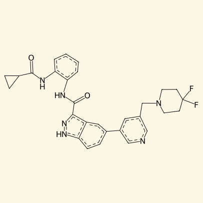 O=C(Nc1ccccc1NC(=O)C1CC1)c1n[nH]c2ccc(-c3cncc(CN4CCC(F)(F)CC4)c3)cc12